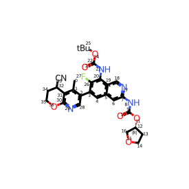 Cc1c(-c2cc3cc(NC(=O)O[C@@H]4CCOC4)ncc3c(NC(=O)OC(C)(C)C)c2F)cnc2c1C(C#N)CCO2